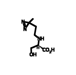 CC1(CCN[C@@H](CO)C(=O)O)N=N1